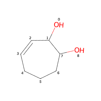 OC1C=CCCCC1O